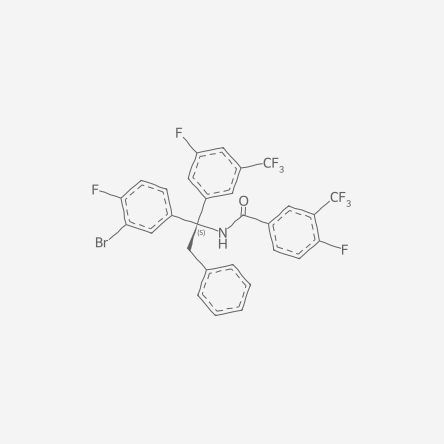 O=C(N[C@@](Cc1ccccc1)(c1cc(F)cc(C(F)(F)F)c1)c1ccc(F)c(Br)c1)c1ccc(F)c(C(F)(F)F)c1